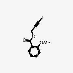 COc1ccccc1C(=O)OCC#CI